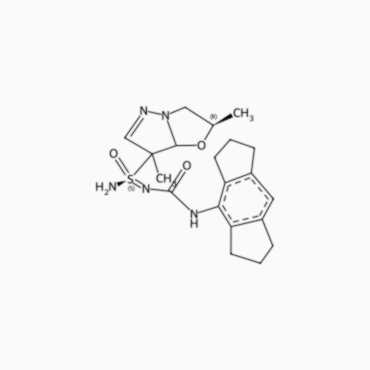 C[C@@H]1CN2N=CC(C)([S@@](N)(=O)=NC(=O)Nc3c4c(cc5c3CCC5)CCC4)C2O1